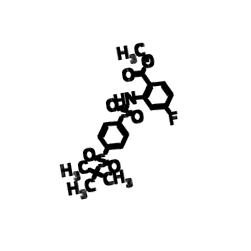 COC(=O)c1ccc(F)cc1NS(=O)(=O)c1ccc(S(=O)(=O)C(C)(C)C)cc1